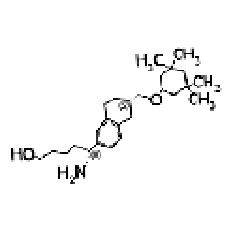 CC1(C)CC(OC[C@H]2CCc3cc([C@H](CN)CCCCO)ccc3C2)CC(C)(C)C1